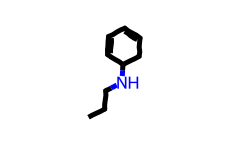 CCCNC1C=CC=CC1